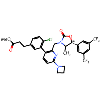 COC(=O)CCc1ccc(Cl)c(-c2ccc(N3CCC3)nc2CN2C(=O)O[C@H](c3cc(C(F)(F)F)cc(C(F)(F)F)c3)C2C)c1